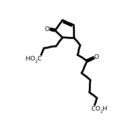 O=C(O)CCCCC(=O)CCC1C=CC(=O)C1CCC(=O)O